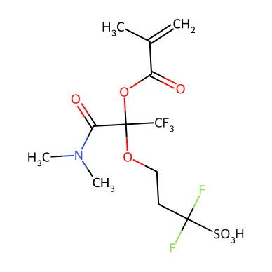 C=C(C)C(=O)OC(OCCC(F)(F)S(=O)(=O)O)(C(=O)N(C)C)C(F)(F)F